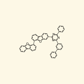 c1ccc(-c2cccc(-c3nc(-c4ccccc4)nc(-c4ccc5c(c4)oc4c(-c6cccc7c6oc6ccccc67)cccc45)n3)c2)cc1